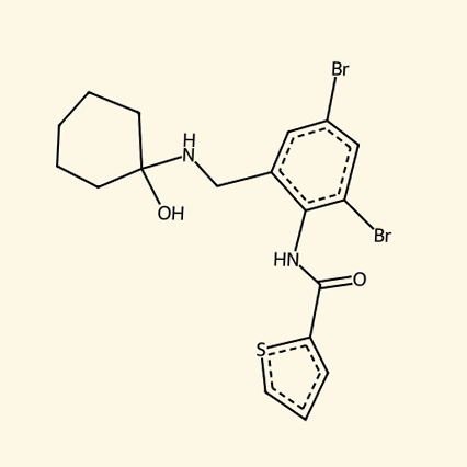 O=C(Nc1c(Br)cc(Br)cc1CNC1(O)CCCCC1)c1cccs1